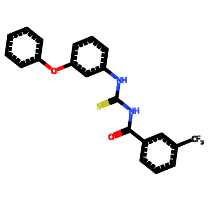 O=C(NC(=S)Nc1cccc(Oc2ccccc2)c1)c1cccc(C(F)(F)F)c1